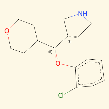 Clc1ccccc1O[C@H](C1CCOCC1)[C@H]1CCNC1